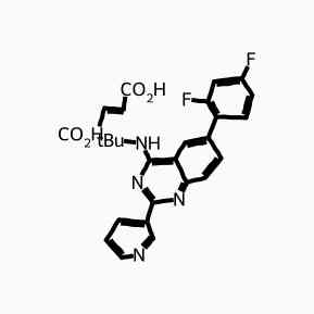 CC(C)(C)Nc1nc(-c2cccnc2)nc2ccc(-c3ccc(F)cc3F)cc12.O=C(O)/C=C/C(=O)O